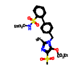 CCCc1nc(S(C)(=O)=O)c(OC(=O)OCC)n1Cc1ccc(-c2ccccc2S(=O)(=O)NC(=O)OCC)cc1